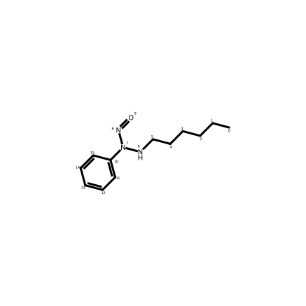 CCCCCCNN(N=O)c1ccccc1